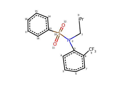 CC(C)CN(c1ccccc1C(F)(F)F)S(=O)(=O)c1cc[c]cc1